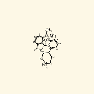 COc1cccc2c1C(C1C(C3CCNCC3)=CC=CC1(C)C)CC2